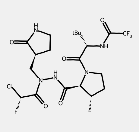 C[C@H]1CCN(C(=O)[C@@H](NC(=O)C(F)(F)F)C(C)(C)C)[C@@H]1C(=O)NN(C[C@@H]1CCNC1=O)C(=O)[C@H](F)Cl